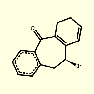 O=C1C2=C(C=CCC2)[C@@H](Br)Cc2ccccc21